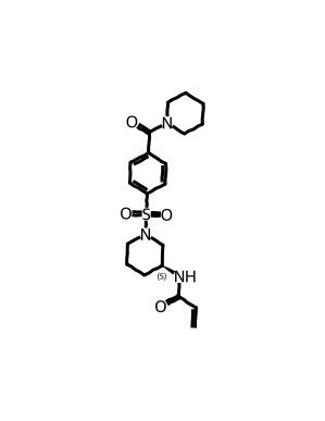 C=CC(=O)N[C@H]1CCCN(S(=O)(=O)c2ccc(C(=O)N3CCCCC3)cc2)C1